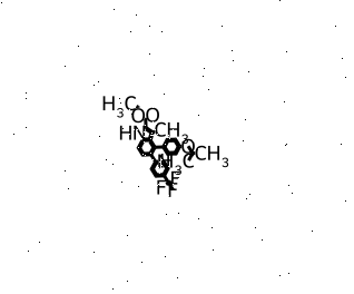 CCOC(=O)c1[nH]c2ccc(-c3ccc(C(F)(F)F)cn3)c(-c3ccc(OC(C)C)cc3)c2c1C